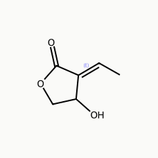 C/C=C1/C(=O)OCC1O